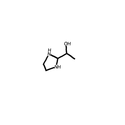 CC(O)C1NCCN1